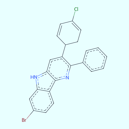 ClC1=CCC(c2cc3[nH]c4cc(Br)ccc4c3nc2-c2ccccc2)C=C1